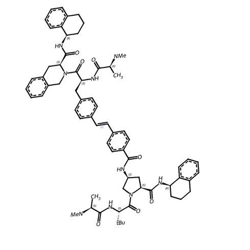 CN[C@@H](C)C(=O)N[C@@H](Cc1ccc(/C=C/c2ccc(C(=O)N[C@H]3C[C@@H](C(=O)N[C@@H]4CCCc5ccccc54)N(C(=O)[C@@H](NC(=O)[C@H](C)NC)C(C)(C)C)C3)cc2)cc1)C(=O)N1Cc2ccccc2C[C@H]1C(=O)N[C@@H]1CCCc2ccccc21